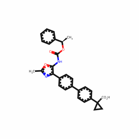 Cc1nc(-c2ccc(-c3ccc(C4(C(=O)O)CC4)cc3)cc2)c(NC(=O)O[C@H](C)c2ccccc2)o1